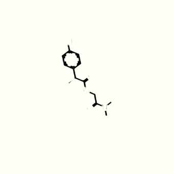 C[C@H](C(=O)OCC(=O)N(C)C)c1ccc(O)cc1